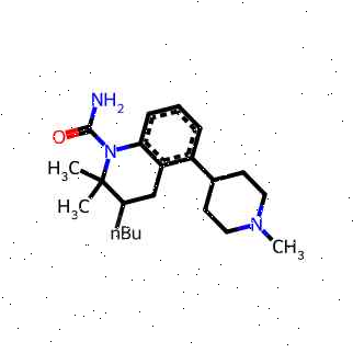 CCCCC1Cc2c(C3CCN(C)CC3)cccc2N(C(N)=O)C1(C)C